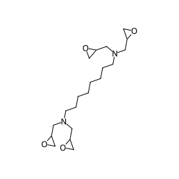 C(CCCCN(CC1CO1)CC1CO1)CCCN(CC1CO1)CC1CO1